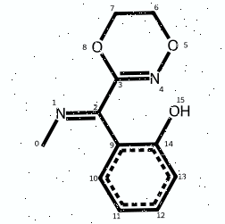 C/N=C(/C1=NOCCO1)c1ccccc1O